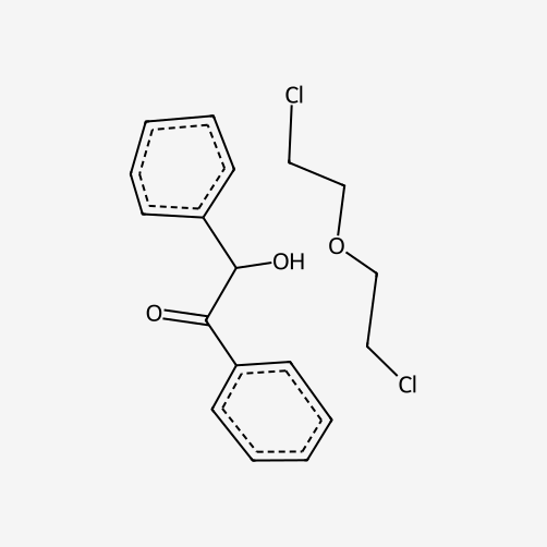 ClCCOCCCl.O=C(c1ccccc1)C(O)c1ccccc1